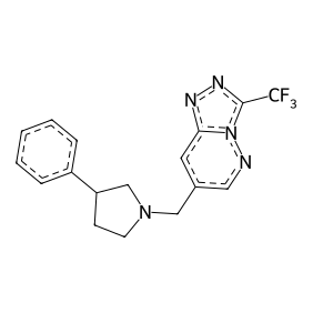 FC(F)(F)c1nnc2cc(CN3CCC(c4ccccc4)C3)cnn12